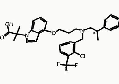 C[C@@H](CN(CCCOc1cccc2c1ccn2C(C)(C)C(=O)O)Cc1cccc(C(F)(F)F)c1Cl)c1ccccc1